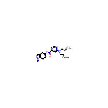 COCCN(CCOC)c1cc(C(=O)Nc2ccc3[nH]ncc3c2)ncn1